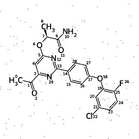 CC(=O)c1cc(O[C@@H](C)C(N)=O)nc(-c2ccc(Oc3cc(Cl)ccc3F)cc2)n1